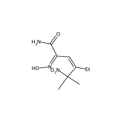 CCC(=CC(=NO)C(N)=O)C(C)(C)[N+](=O)[O-]